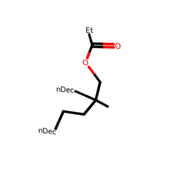 CCCCCCCCCCCCC(C)(CCCCCCCCCC)COC(=O)CC